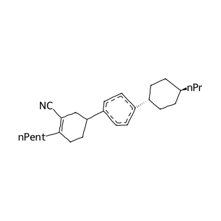 CCCCCC1=C(C#N)CC(c2ccc([C@H]3CC[C@H](CCC)CC3)cc2)CC1